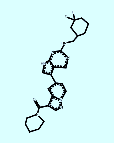 O=C(c1cnn2ccc(-c3c[nH]c4nc(NCC5CCCC(F)(F)C5)ncc34)cc12)N1CCCCC1